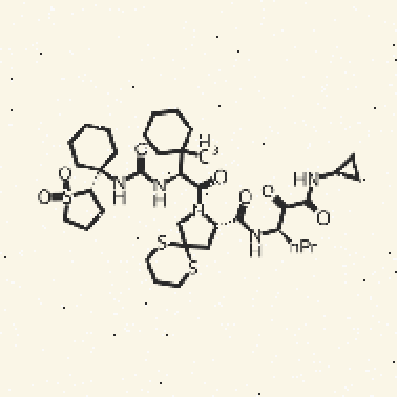 CCC[C@@H](NC(=O)[C@@H]1CC2(CN1C(=O)[C@@H](NC(=O)NC1([C@@H]3CCCS3(=O)=O)CCCCC1)C1(C)CCCCC1)SCCCS2)C(=O)C(=O)NC1CC1